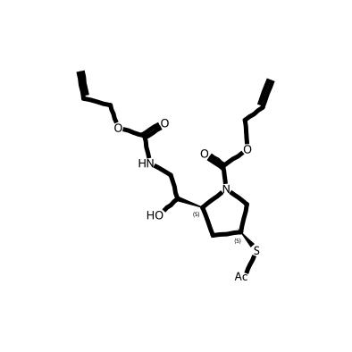 C=CCOC(=O)NCC(O)[C@@H]1C[C@H](SC(C)=O)CN1C(=O)OCC=C